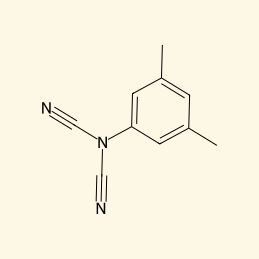 Cc1cc(C)cc(N(C#N)C#N)c1